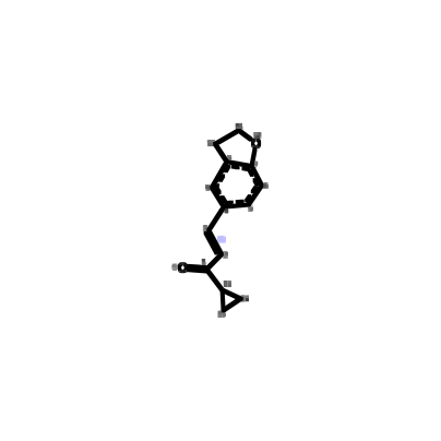 O=C(/C=C/c1ccc2c(c1)CCO2)C1CC1